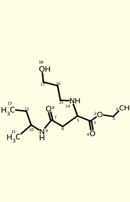 CCOC(=O)C(CC(=O)NC(C)CC)NCCCO